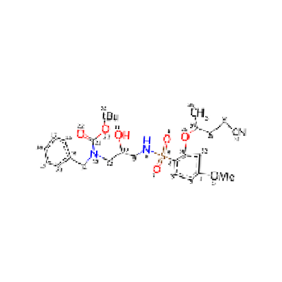 COc1ccc(S(=O)(=O)NCC(O)CN(Cc2ccccc2)C(=O)OC(C)(C)C)c(OC(C)CCC#N)c1